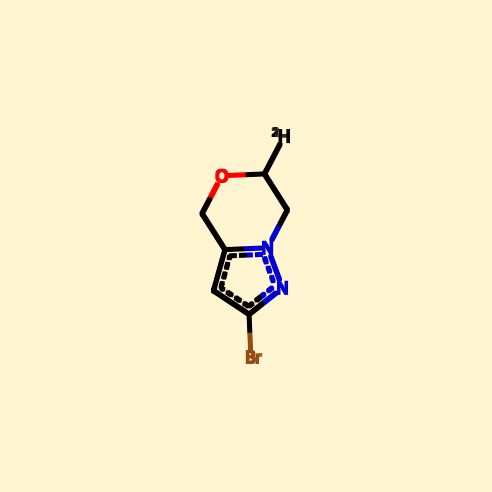 [2H]C1Cn2nc(Br)cc2CO1